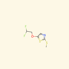 CSc1ncc(OCC(F)F)s1